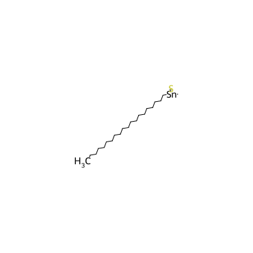 CCCCCCCCCCCCCCCCCCC[CH2][Sn]=[S]